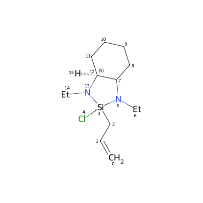 C=CC[Si]1(Cl)N(CC)C2CCCC[C@@H]2N1CC